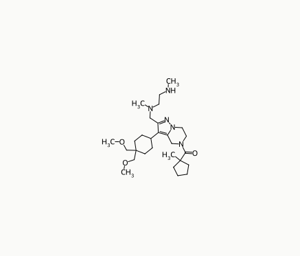 CNCCN(C)Cc1nn2c(c1C1CCC(COC)(COC)CC1)CN(C(=O)C1(C)CCCC1)CC2